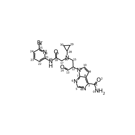 NC(=O)c1ncnc2c1ccn2C(C=O)CN(CC(=O)Nc1cccc(Br)n1)C1CC1